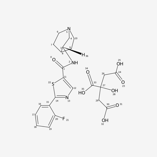 O=C(N[C@H]1CN2CCC1CC2)c1cnc(-c2ccccc2F)s1.O=C(O)CC(O)(CC(=O)O)C(=O)O